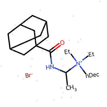 CCCCCCCCCC[N+](CC)(CC)C(C)NC(=O)C12CC3CC(CC(C3)C1)C2.[Br-]